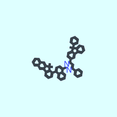 CC1(C)c2cc3ccccc3cc2-c2cccc(-c3ccc(-c4nc(-c5ccccc5)cc(-c5ccc6c(c5)-c5ccccc5C6(C)c5ccccc5)n4)c4ccccc34)c21